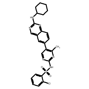 Cc1nc(NS(=O)(=O)c2ccccc2Cl)ncc1-c1ccc2nc(NC3CCCCC3)ncc2c1